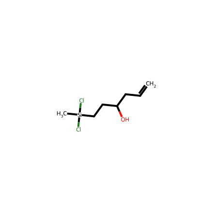 C=CCC(O)CC[Si](C)(Cl)Cl